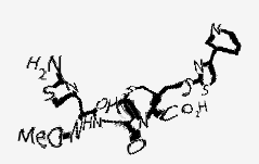 CON=C(C(=O)N[C@@H]1C(=O)N2C(C(=O)O)=C(CSc3nc(-c4cccnc4)cs3)CS[C@@H]12)c1csc(N)n1